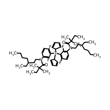 CCCCC(CC)CCN(C(=O)C(C)(C)CC)c1ccc(F)[c]([Ti]([c]2c(F)ccc(N(CCC(CC)CCCC)C(=O)C(C)(C)CC)c2F)([CH]2C=CC=C2)[CH]2C=CC=C2)c1F